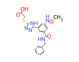 CONc1cc(C(=O)NCc2ccccc2)cc(-c2nnc(SCC(=O)O)[nH]2)c1